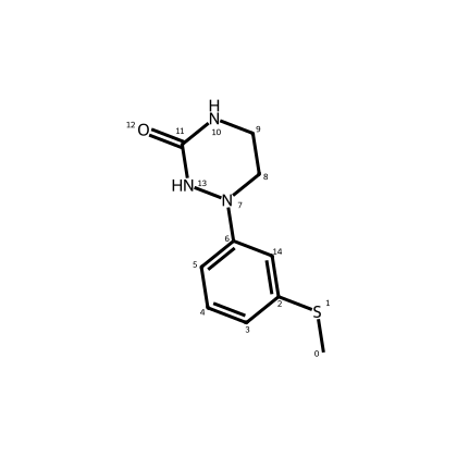 CSc1cccc(N2CCNC(=O)N2)c1